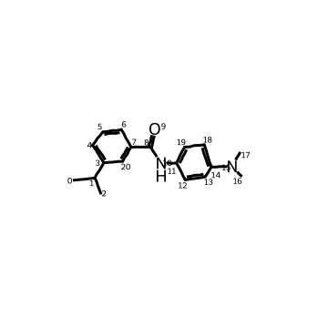 CC(C)c1cccc(C(=O)Nc2ccc(N(C)C)cc2)c1